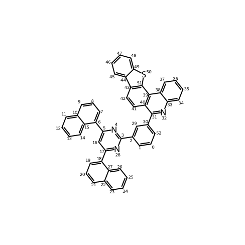 c1cc(-c2nc(-c3cccc4ccccc34)cc(-c3cccc4ccccc34)n2)cc(-c2nc3ccccc3c3c2ccc2c4ccccc4sc23)c1